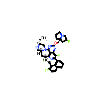 C#Cc1c(F)ccc2cccc(-c3nc4c5c(nc(OC[C@@]67CCCN6C[C@H](F)C7)nc5c3F)N3C[C@@H](CC)NC[C@H]3C[C@H]4F)c12